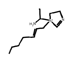 CCCCC=CC[N+]1(C(C)N)C=NCC1